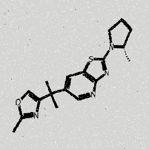 Cc1nc(C(C)(C)c2cnc3nc(N4CCC[C@@H]4C)sc3c2)co1